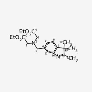 CCOC(=O)CN(CC(=O)OCC)Cc1ccc2c(c1)N=C(C)C2(C)C